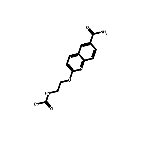 CCC(=O)NCCOc1ccc2cc(C(N)=O)ccc2n1